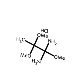 COC(N)([SiH3])C(C)(OC)OC.Cl